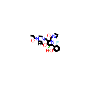 C=CC(=O)N1CCN2Cc3c(C(=O)N4CCC4)nc(-c4c(O)cccc4F)c(Cl)c3OC[C@H]2C1